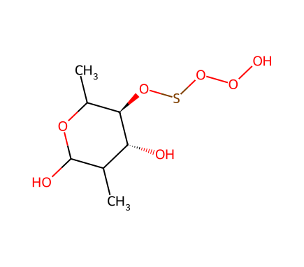 CC1C(O)OC(C)[C@@H](OSOOO)[C@@H]1O